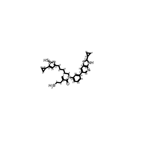 BCCC(=C)C(=O)N(CCCCCc1cc(C2CC2)n(S)n1)c1cccc(-c2cnc3c(c2)SC(C2CC2)N3)c1